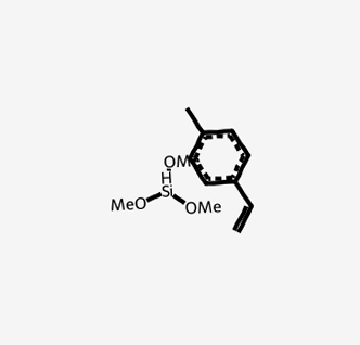 C=Cc1ccc(C)cc1.CO[SiH](OC)OC